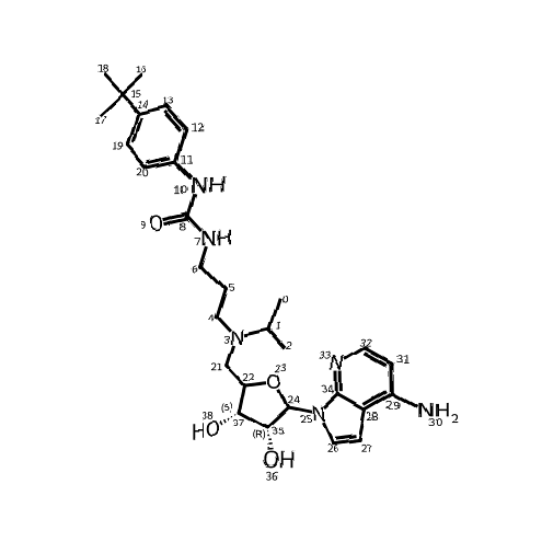 CC(C)N(CCCNC(=O)Nc1ccc(C(C)(C)C)cc1)CC1OC(n2ccc3c(N)ccnc32)[C@H](O)[C@@H]1O